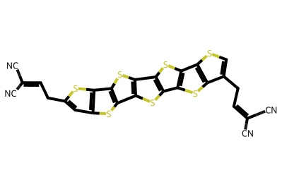 N#CC(C#N)=CCc1cc2sc3c(sc4c3sc3c5sc6c(CC=C(C#N)C#N)csc6c5sc34)c2s1